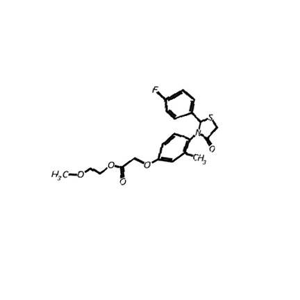 COCCOC(=O)COc1ccc(N2C(=O)CSC2c2ccc(F)cc2)c(C)c1